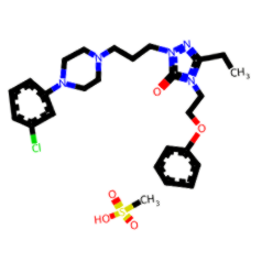 CCc1nn(CCCN2CCN(c3cccc(Cl)c3)CC2)c(=O)n1CCOc1ccccc1.CS(=O)(=O)O